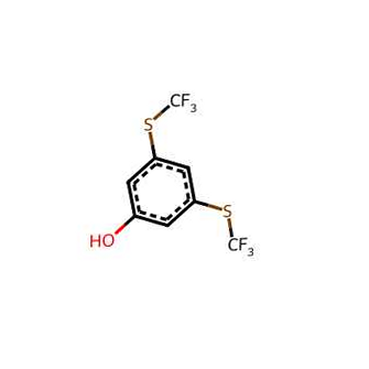 Oc1cc(SC(F)(F)F)cc(SC(F)(F)F)c1